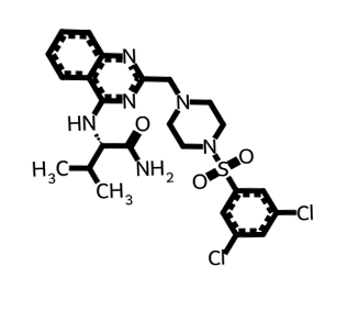 CC(C)[C@H](Nc1nc(CN2CCN(S(=O)(=O)c3cc(Cl)cc(Cl)c3)CC2)nc2ccccc12)C(N)=O